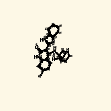 O=c1[nH]c2cc(F)ccc2c(N[C@@H]2CN3CCC2CC3)c1-c1nc2ccccc2[nH]1